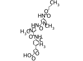 CCCCOC(=O)Nc1cc(C(=O)Nc2cc(C(=O)Nc3ccc(-c4coc(C(=O)O)c4)cc3C)n(C)c2)n(C)c1